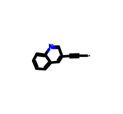 [CH2]C#Cc1cnc2ccccc2c1